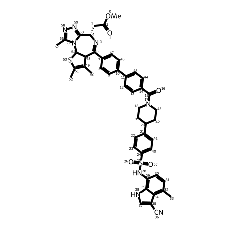 COC(=O)C[C@@H]1N=C(c2ccc(-c3ccc(C(=O)N4CCC(c5ccc(S(=O)(=O)Nc6ccc(C)c7c(C#N)c[nH]c67)cc5)CC4)cc3)cc2)C2C(C)=C(C)SC2n2c(C)nnc21